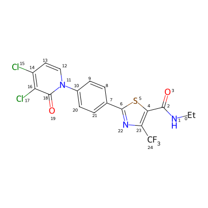 CCNC(=O)c1sc(-c2ccc(-n3ccc(Cl)c(Cl)c3=O)cc2)nc1C(F)(F)F